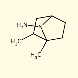 CC1CC2CCC1(C)N2N